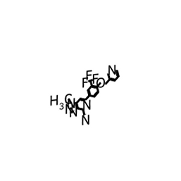 Cn1nnc2c(C#N)nc(-c3ccc(OCc4cccnc4)c(C(F)(F)F)c3)cc21